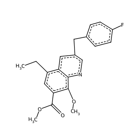 CCc1cc(C(=O)OC)c(OC)c2ncc(Cc3ccc(F)cc3)cc12